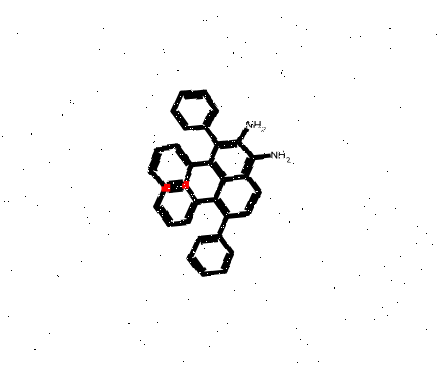 Nc1c(-c2ccccc2)c(-c2ccccc2)c2c(-c3ccccc3)c(-c3ccccc3)ccc2c1N